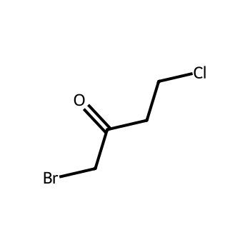 O=C(CBr)CCCl